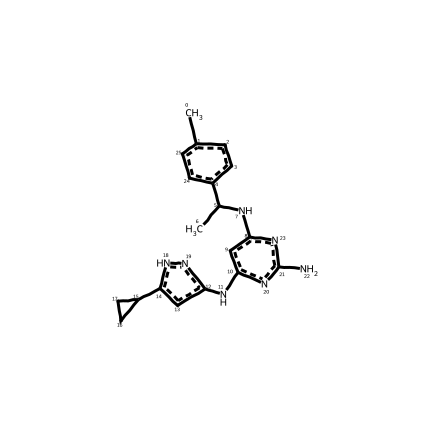 Cc1ccc(C(C)Nc2cc(Nc3cc(C4CC4)[nH]n3)nc(N)n2)cc1